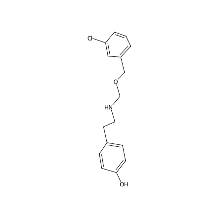 Oc1ccc(CCNCOCc2cccc(Cl)c2)cc1